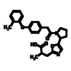 Cc1ccccc1Oc1ccc(CC(=O)N2CCCC2c2cnc(CC(C)C(=O)O)o2)cc1